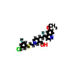 COc1ccc2nccc([C@H](F)CC[C@@H]3CCN(CCSc4cc(F)cc(Cl)c4)C[C@@H]3CO)c2c1